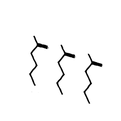 CCCCC(=O)[O-].CCCCC(=O)[O-].CCCCC(=O)[O-].[Au+3]